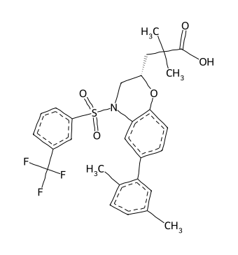 Cc1ccc(C)c(-c2ccc3c(c2)N(S(=O)(=O)c2cccc(C(F)(F)F)c2)C[C@H](CC(C)(C)C(=O)O)O3)c1